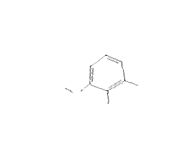 COc1cccc(F)c1I